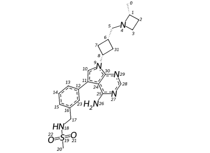 C[C@@H]1CCN1C[C@H]1C[C@@H](n2cc(-c3cccc(CNS(C)(=O)=O)c3)c3c(N)ncnc32)C1